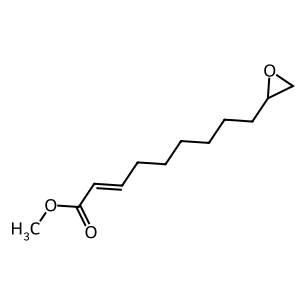 COC(=O)C=CCCCCCCC1CO1